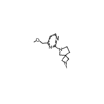 COCc1ccnc(N2CCC3(CN(C)C3)C2)n1